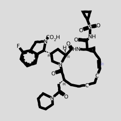 O=C1NC2(C(=O)NS(=O)(=O)C3CC3)CC2/C=C\CCCCC[C@H](CC(=O)N2CCCCC2)C(=O)N2C[C@H](C3c4cccc(F)c4CN3C(=O)O)C[C@@H]12